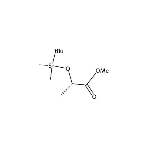 COC(=O)[C@H](C)O[Si](C)(C)C(C)(C)C